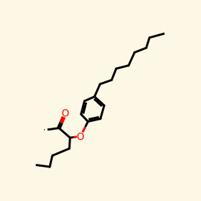 [CH2]C(=O)C(CCCC)Oc1ccc(CCCCCCCC)cc1